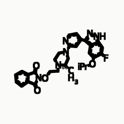 CC(C)Oc1cc2c(-c3ccnc(N4CCN(CCON5C(=O)c6ccccc6C5=O)[C@@H](C)C4)c3)n[nH]c2cc1F